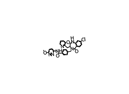 COc1ccc(NC(=O)c2ccc(CN3C(=O)c4ccc(Cl)cc4NC(=O)C3Cc3ccccn3)cc2)nn1